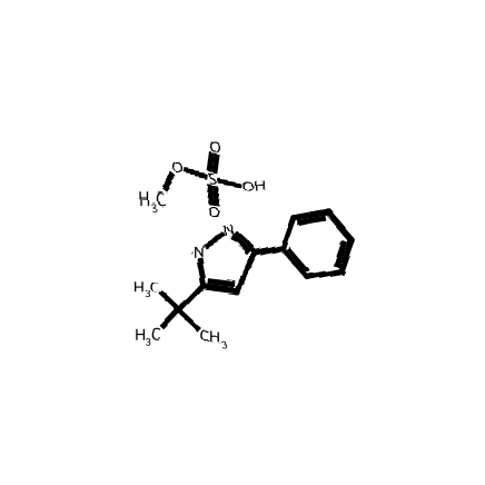 CC(C)(C)C1=CC(c2ccccc2)=N[N]1.COS(=O)(=O)O